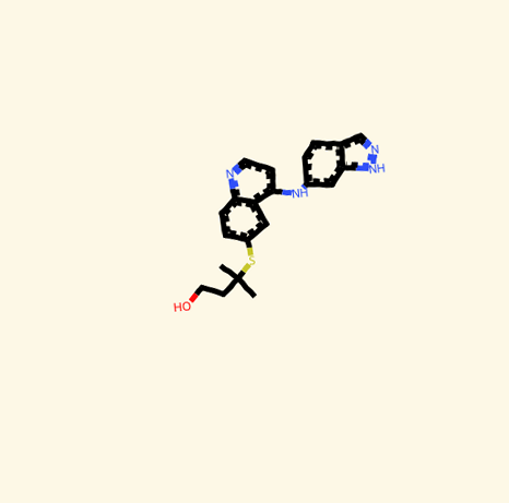 CC(C)(CCO)Sc1ccc2nccc(Nc3ccc4cn[nH]c4c3)c2c1